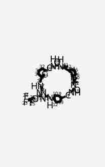 CC1(C)NC(=O)NCc2ccc(cc2)Nc2nc(nc(OCC(F)(F)F)n2)NCc2cccc(c2)CNC(=O)NC(C)(C)c2cccc1c2